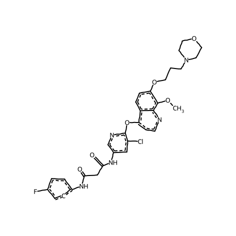 COc1c(OCCCN2CCOCC2)ccc2c(Oc3ncc(NC(=O)CC(=O)Nc4ccc(F)cc4)cc3Cl)ccnc12